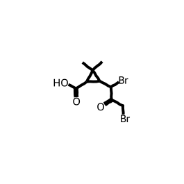 CC1(C)C(C(=O)O)C1C(Br)C(=O)CBr